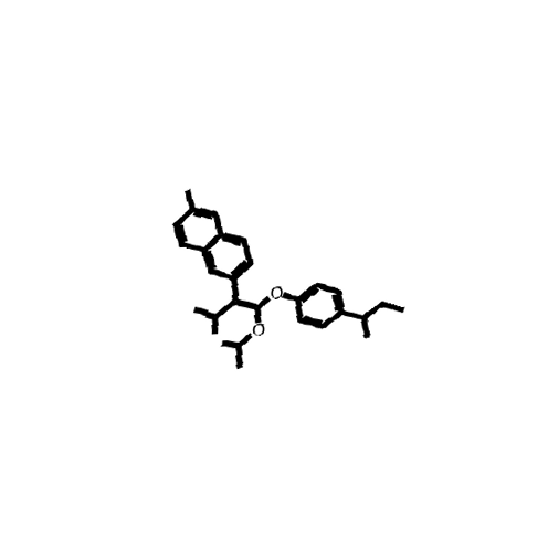 CCC(C)c1ccc(OC(OC(C)C)C(c2ccc3cc(C)ccc3c2)C(C)C)cc1